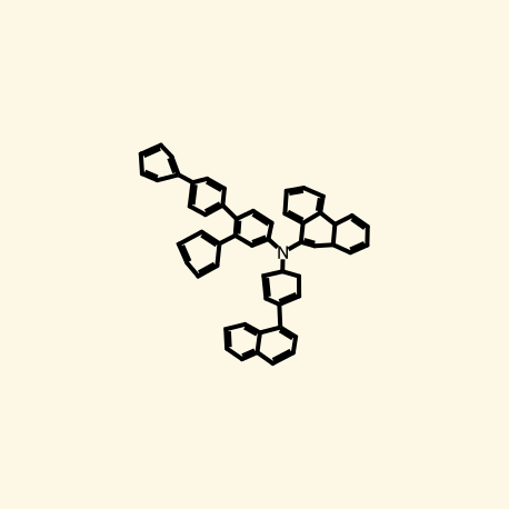 C1=CC2C=C(N(c3ccc(-c4ccc(-c5ccccc5)cc4)c(-c4ccccc4)c3)C3C=CC(c4cccc5ccccc45)=CC3)c3ccccc3C2C=C1